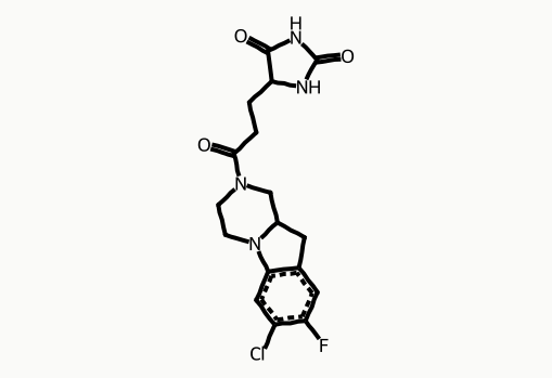 O=C1NC(=O)C(CCC(=O)N2CCN3c4cc(Cl)c(F)cc4CC3C2)N1